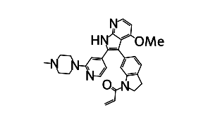 C=CC(=O)N1CCc2ccc(-c3c(-c4ccnc(N5CCN(C)CC5)c4)[nH]c4nccc(OC)c34)cc21